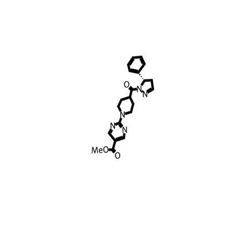 COC(=O)c1cnc(N2CCC(C(=O)N3N=CC[C@H]3c3ccccc3)CC2)nc1